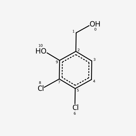 OCc1ccc(Cl)c(Cl)c1O